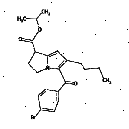 CCCCc1cc2n(c1C(=O)c1ccc(Br)cc1)CCC2C(=O)OC(C)C